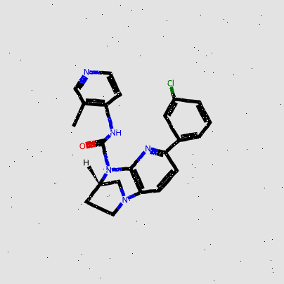 Cc1cnccc1NC(=O)N1c2nc(-c3cccc(Cl)c3)ccc2N2CC[C@H]1C2